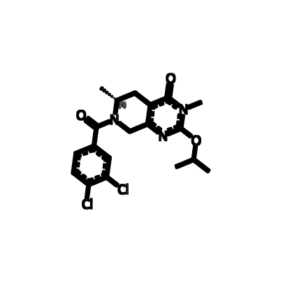 CC(C)Oc1nc2c(c(=O)n1C)C[C@@H](C)N(C(=O)c1ccc(Cl)c(Cl)c1)C2